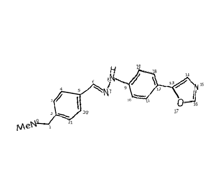 CNCc1ccc(C=NNc2ccc(-c3cnco3)cc2)cc1